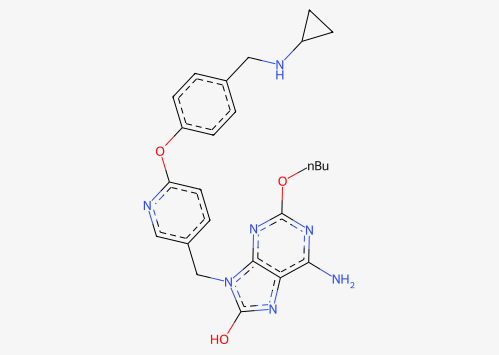 CCCCOc1nc(N)c2nc(O)n(Cc3ccc(Oc4ccc(CNC5CC5)cc4)nc3)c2n1